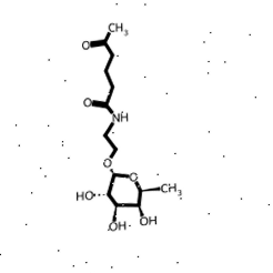 CC(=O)CCCC(=O)NCCO[C@@H]1O[C@@H](C)[C@@H](O)[C@@H](O)[C@@H]1O